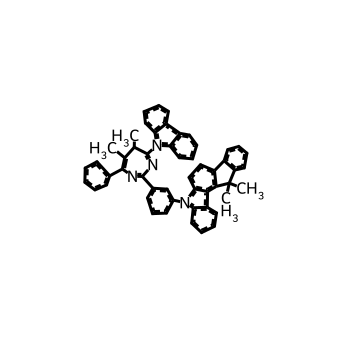 CC1=C(c2ccccc2)N=C(c2cccc(-n3c4ccccc4c4c5c(ccc43)-c3ccccc3C5(C)C)c2)N=C(n2c3ccccc3c3ccccc32)C1C